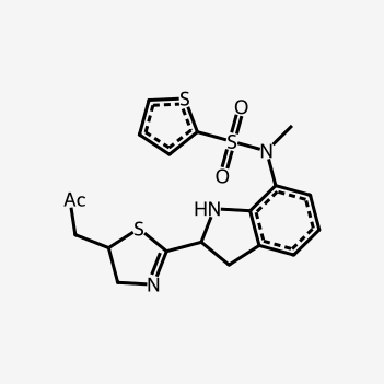 CC(=O)CC1CN=C(C2Cc3cccc(N(C)S(=O)(=O)c4cccs4)c3N2)S1